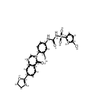 O=C(Nc1ccc(-n2cnc3cc(C4=NCCO4)ccc3c2=O)c(F)c1)NS(=O)(=O)c1ccc(Cl)s1